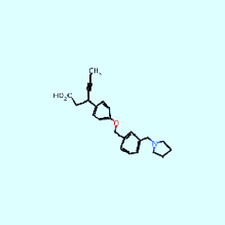 CC#CC(CC(=O)O)c1ccc(OCc2cccc(CN3CCCC3)c2)cc1